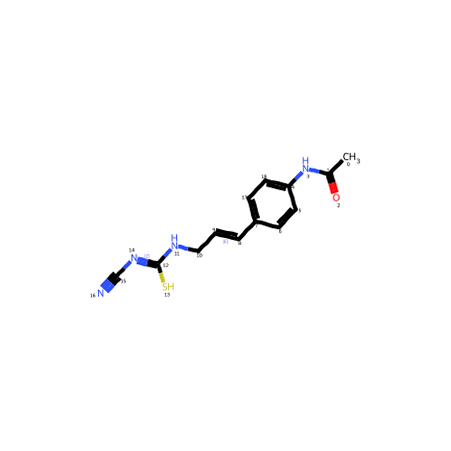 CC(=O)Nc1ccc(/C=C/CN/C(S)=N/C#N)cc1